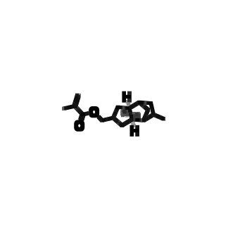 C=C(C)C(=O)OCC1C[C@@H]2C3CC(CC3C)[C@@H]2C1